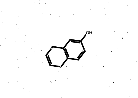 Oc1ccc2c(c1)[CH]C=CC2